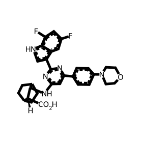 O=C(O)[C@@H]1C2CCC(CC2)C1Nc1cc(-c2ccc(N3CCOCC3)cc2)nc(-c2c[nH]c3c(F)cc(F)cc23)n1